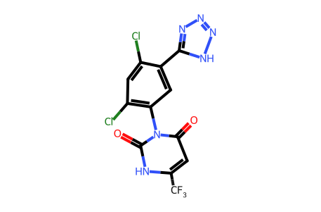 O=c1cc(C(F)(F)F)[nH]c(=O)n1-c1cc(-c2nnn[nH]2)c(Cl)cc1Cl